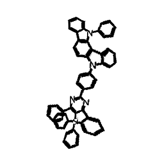 c1ccc(-c2nc(-c3ccc(-n4c5ccccc5c5c4ccc4c6ccccc6n(-c6ccccc6)c45)cc3)nc3c2[Si](c2ccccc2)(c2ccccc2)c2ccccc2-3)cc1